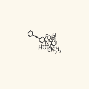 CC1=C2C(=C(O)N(c3c(F)cc(C#Cc4ccccc4)cc3F)C(O)N2C)NC=C1